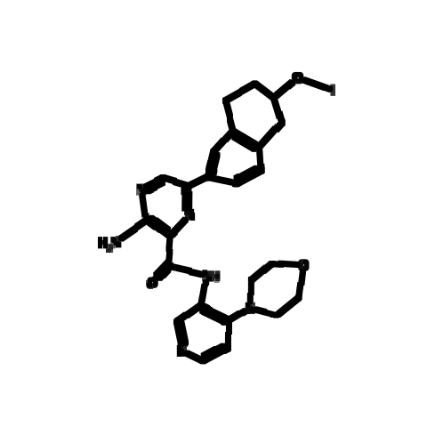 Nc1ncc(-c2ccc3c(c2)CCC(OI)C3)nc1C(=O)Nc1cnccc1N1CCOCC1